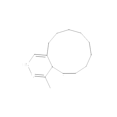 CC1=NNC=C2CCCCCCCCCC21